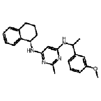 COc1cccc(C(C)Nc2cc(N[C@@H]3CCCc4ccccc43)nc(C)n2)c1